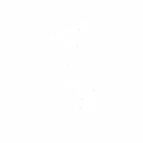 CC1(C)CC(C(=O)Nc2cnc(C(=O)N3CCC3)c(C(F)(F)F)c2)c2cnc3cc(Cl)nn3c21